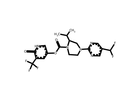 CC(C)C1CN(c2ncc(C(F)F)cn2)CCN1C(=O)Oc1c[nH]c(=O)c(C(F)(F)F)c1